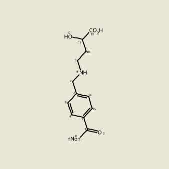 CCCCCCCCCC(=O)c1ccc(CNCCC(O)C(=O)O)cc1